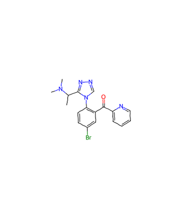 CC(c1nncn1-c1ccc(Br)cc1C(=O)c1ccccn1)N(C)C